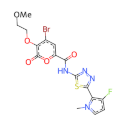 COCCOc1c(Br)cc(C(=O)Nc2nnc(-c3c(F)ccn3C)s2)oc1=O